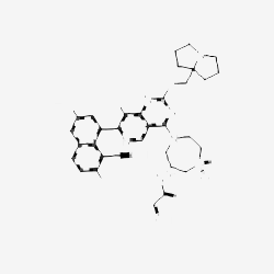 C#Cc1c(F)ccc2cc(O)cc(-c3ncc4c(N5CCS(=O)(=O)C[C@H](NC(=O)C=C)C5)nc(OCC56CCCN5CCC6)nc4c3F)c12